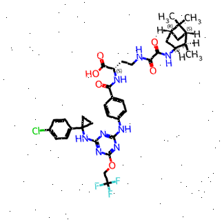 C[C@H]1[C@@H](NC(=O)C(=O)NCC[C@H](NC(=O)c2ccc(Nc3nc(NC4(c5ccc(Cl)cc5)CC4)nc(OCC(F)(F)F)n3)cc2)C(=O)O)C[C@H]2C[C@@H]1C2(C)C